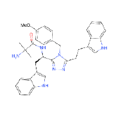 COc1ccc(Cn2c(CCc3c[nH]c4ccccc34)nnc2[C@@H](Cc2c[nH]c3ccccc23)NC(=O)C(C)(C)N)cc1